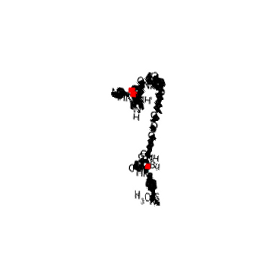 Cc1ncsc1-c1ccc(CNC(=O)[C@@H]2CC(=O)CN2C(=O)[C@@H](NC(=O)CCCCCOCCOCCOCCCCCCOc2ccc3c(c2)[C@H](NC(=O)c2cccc(NC4(c5nnc(-c6ccncc6)[nH]5)CCNCC4)c2)CCO3)C(C)(C)C)cc1